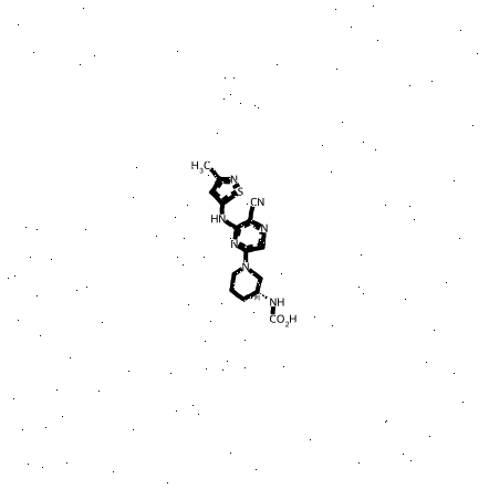 Cc1cc(Nc2nc(N3CCC[C@@H](NC(=O)O)C3)cnc2C#N)sn1